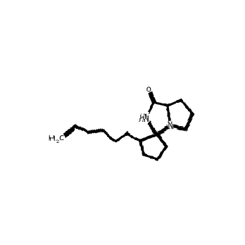 C=CCCCCC1CCCC12NC(=O)C1CCCN12